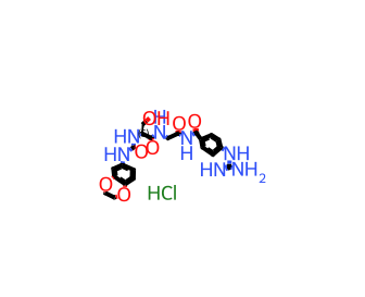 Cl.N=C(N)Nc1ccc(C(=O)NC(=O)CNC(=O)[C@H](CO)NC(=O)Nc2ccc3c(c2)OCCO3)cc1